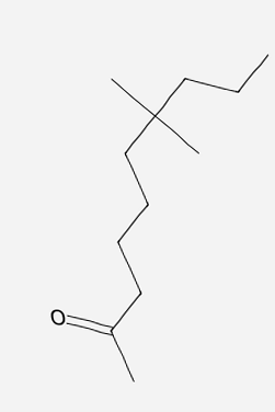 CCCC(C)(C)CCCCC(C)=O